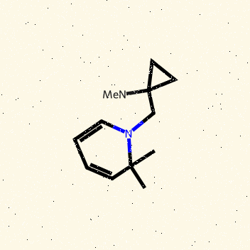 CNC1(CN2C=CC=CC2(C)C)CC1